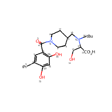 CC(C)c1cc(C(=O)N2CCC(CN(C(CO)C(=O)O)C(C)(C)C)CC2)c(O)cc1O